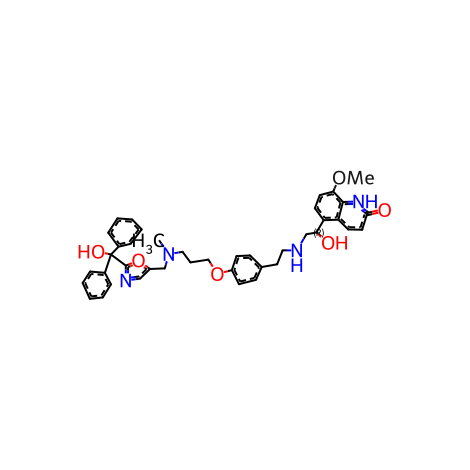 COc1ccc([C@@H](O)CNCCc2ccc(OCCCN(C)Cc3cnc(C(O)(c4ccccc4)c4ccccc4)o3)cc2)c2ccc(=O)[nH]c12